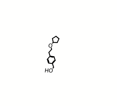 OCc1ccc(CCOC2CCCC2)cc1